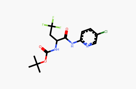 CC(C)(C)OC(=O)NC(CC(F)(F)F)C(=O)Nc1ccc(Cl)cn1